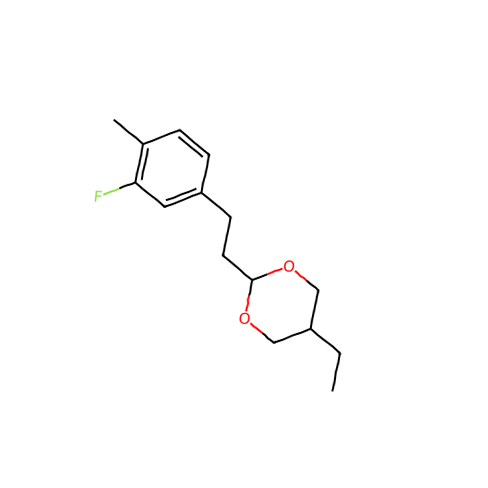 CCC1COC(CCc2ccc(C)c(F)c2)OC1